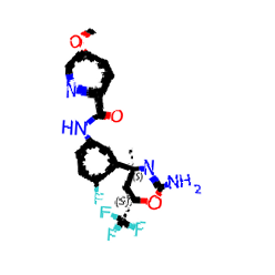 COc1ccc(C(=O)Nc2ccc(F)c([C@]3(C)C[C@@H](C(F)(F)F)OC(N)=N3)c2)nc1